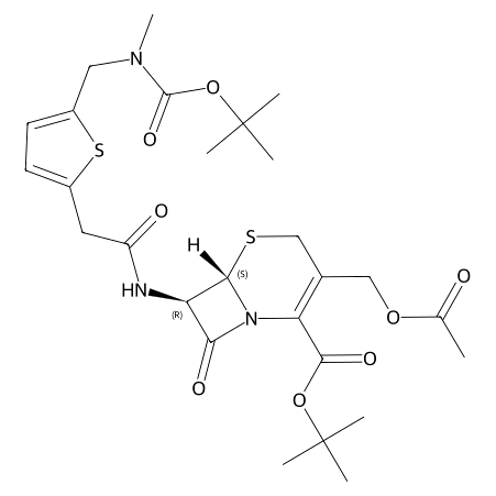 CC(=O)OCC1=C(C(=O)OC(C)(C)C)N2C(=O)[C@@H](NC(=O)Cc3ccc(CN(C)C(=O)OC(C)(C)C)s3)[C@@H]2SC1